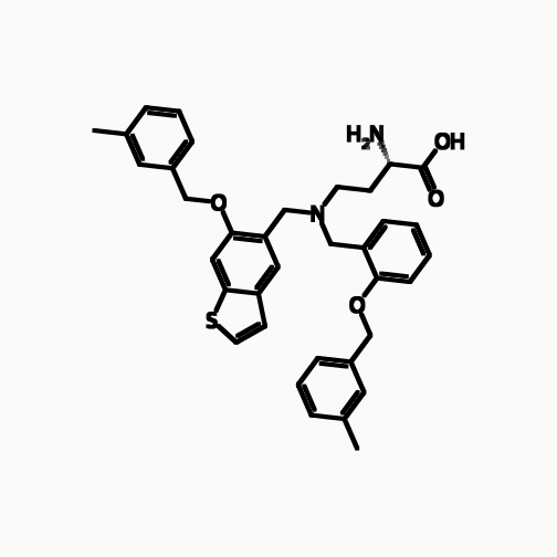 Cc1cccc(COc2ccccc2CN(CC[C@H](N)C(=O)O)Cc2cc3ccsc3cc2OCc2cccc(C)c2)c1